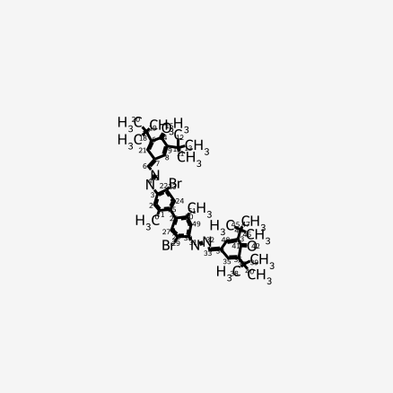 Cc1cc(/N=N/C=C2C=C(C(C)(C)C)C(=O)C(C(C)(C)C)=C2)c(Br)cc1-c1cc(Br)c(/N=N/C=C2C=C(C(C)(C)C)C(=O)C(C(C)(C)C)=C2)cc1C